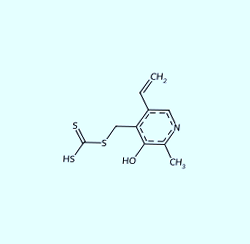 C=Cc1cnc(C)c(O)c1CSC(=S)S